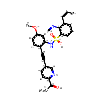 C=Nc1c(/C=C\CC)cccc1S(=O)(=O)Nc1cc(OCC)ccc1C#Cc1ccc(C(=O)OC)nc1